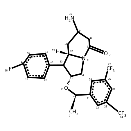 C[C@@H](O[C@H]1CN2C(=O)CC(N)C[C@H]2C1c1ccc(F)cc1)c1cc(C(F)(F)F)cc(C(F)(F)F)c1